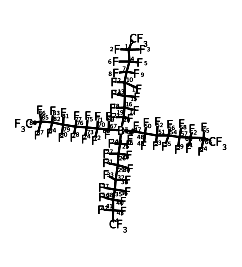 FC(F)(F)C(F)(F)C(F)(F)C(F)(F)C(F)(F)C(F)(F)C(F)(F)C(F)(F)[B-](C(F)(F)C(F)(F)C(F)(F)C(F)(F)C(F)(F)C(F)(F)C(F)(F)C(F)(F)F)(C(F)(F)C(F)(F)C(F)(F)C(F)(F)C(F)(F)C(F)(F)C(F)(F)C(F)(F)F)C(F)(F)C(F)(F)C(F)(F)C(F)(F)C(F)(F)C(F)(F)C(F)(F)C(F)(F)F